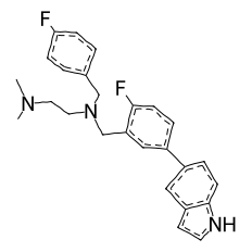 CN(C)CCN(Cc1ccc(F)cc1)Cc1cc(-c2ccc3[nH]ccc3c2)ccc1F